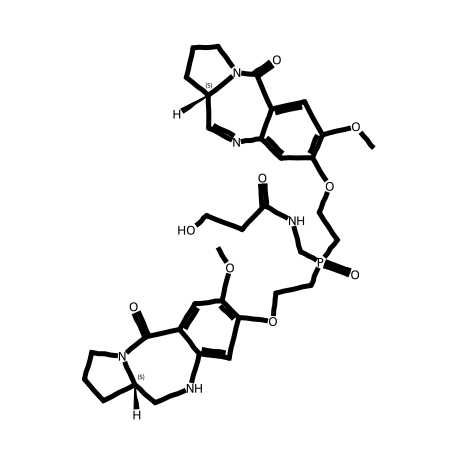 COc1cc2c(cc1OCCP(=O)(CCOc1cc3c(cc1OC)C(=O)N1CCC[C@H]1CN3)CNC(=O)CCO)N=C[C@@H]1CCCN1C2=O